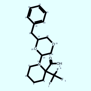 O=C(O)C1(C(F)(F)F)C[CH]CCN1C1COCC(Cc2ccccc2)O1